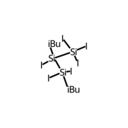 CCC(C)[Si](I)(I)[Si](I)(C(C)CC)[Si](I)(I)I